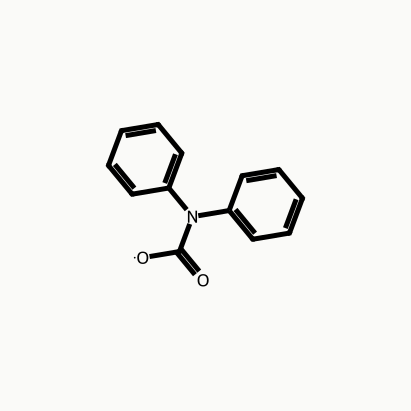 [O]C(=O)N(c1ccccc1)c1ccccc1